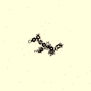 CN=S1(=O)CCN(C[C@H](C)Nc2ccc(S(=O)(=O)NC(=O)c3ccc(N4CCN(CC5=C(c6ccc(Cl)cc6)CC(C)(C)CC5)CC4)cc3Oc3cnc4[nH]ccc4c3)cc2S(=O)(=O)C(F)(F)F)CC1